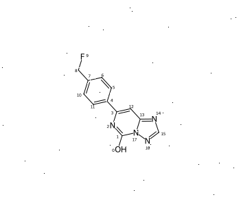 Oc1nc(-c2ccc(CF)cc2)cc2ncnn12